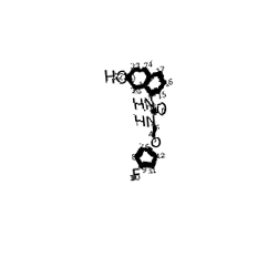 O=C(NCCOc1ccc(F)cc1)Nc1cccc2c1C[C@@H](O)CC2